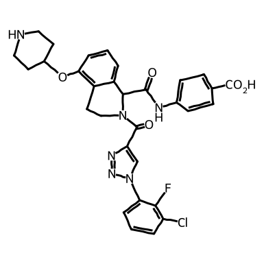 O=C(O)c1ccc(NC(=O)C2c3cccc(OC4CCNCC4)c3CCN2C(=O)c2cn(-c3cccc(Cl)c3F)nn2)cc1